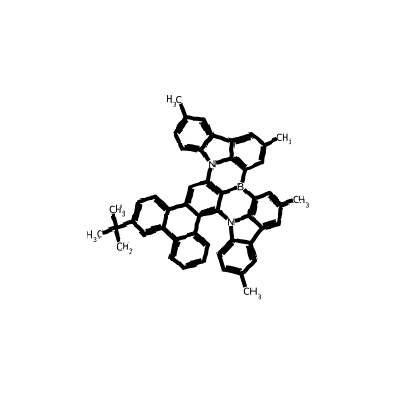 Cc1ccc2c(c1)c1cc(C)cc3c1n2-c1cc2c4ccc(C(C)(C)C)cc4c4ccccc4c2c2c1B3c1cc(C)cc3c4cc(C)ccc4n-2c13